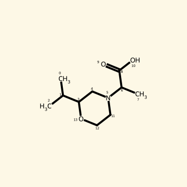 CC(C)C1CN(C(C)C(=O)O)CCO1